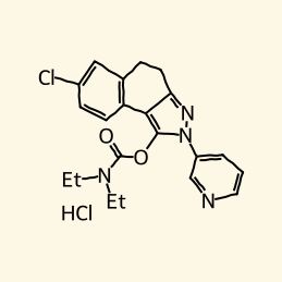 CCN(CC)C(=O)Oc1c2c(nn1-c1cccnc1)CCc1cc(Cl)ccc1-2.Cl